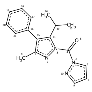 Cc1nn(C(=O)n2cccn2)c(C(C)C)c1-c1ccccc1